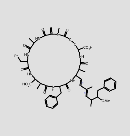 C=C1C(=O)NC(C)C(=O)NC(CC(C)C)C(=O)NC(C(=O)O)C(C)C(=O)NC(Cc2ccccc2)C(=O)NC(/C=C/C(C)=C/C(C)C(Cc2ccccc2)OC)C(C)C(=O)NC(C(=O)O)CCC(=O)N1C